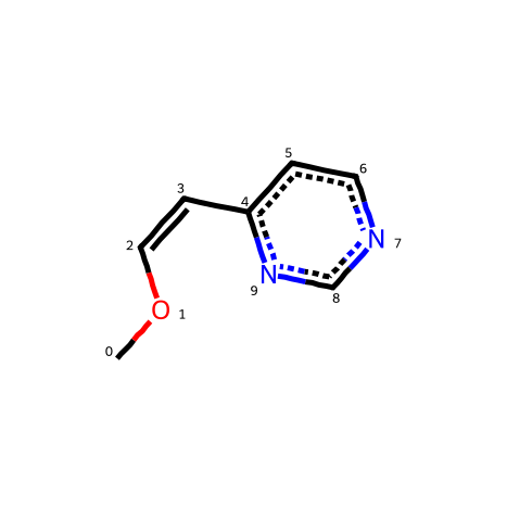 CO/C=C\c1ccncn1